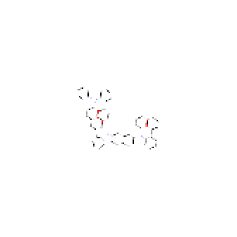 c1ccc(-c2ccccc2N(c2ccccc2)c2ccc3cc4c5cccc6c7cc8ccc(N(c9ccccc9)c9ccccc9-c9ccccc9)cc8cc7n(c4cc3c2)c56)cc1